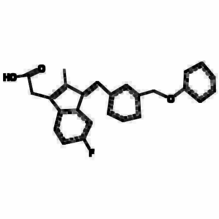 CC1=C(CC(=O)O)c2ccc(F)cc2/C1=C\c1cccc(COc2ccccc2)c1